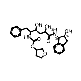 CC(CC(O)C(Cc1ccccc1)NC(=O)OC1CCOC1)C(=O)N[C@H]1c2ccccc2C[C@@H]1O